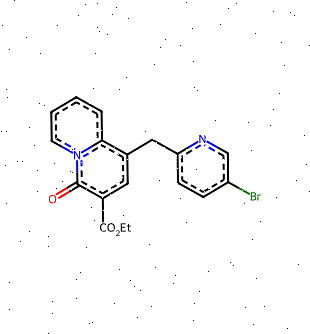 CCOC(=O)c1cc(Cc2ccc(Br)cn2)c2ccccn2c1=O